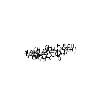 CC(C)(C)OC(=O)C(CNC(=O)c1ccc(C(C)(C)C)cc1)Cc1ccc(B2OC(C)(C)C(C)(C)O2)cc1